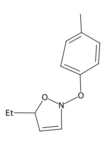 CCC1C=CN(Oc2ccc(C)cc2)O1